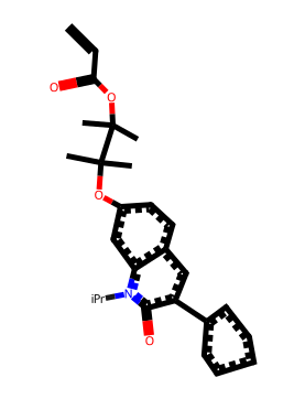 C=CC(=O)OC(C)(C)C(C)(C)Oc1ccc2cc(-c3ccccc3)c(=O)n(C(C)C)c2c1